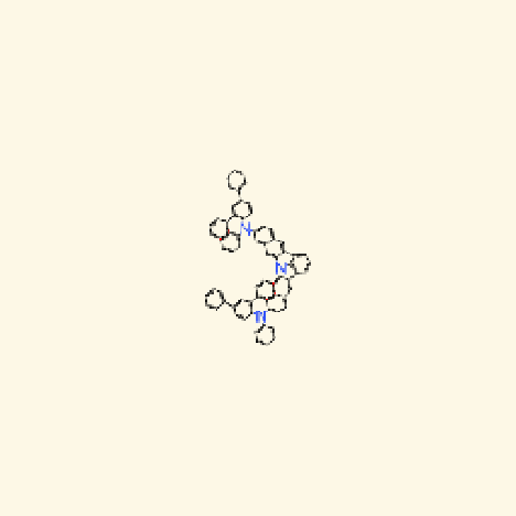 c1ccc(-c2ccc(N(c3ccccc3)c3ccc4cc5c6cccc7c8cc9ccc(N(c%10ccccc%10)c%10ccc(-c%11ccccc%11)cc%10-c%10ccccc%10)cc9cc8n(c5cc4c3)c67)c(-c3ccccc3)c2)cc1